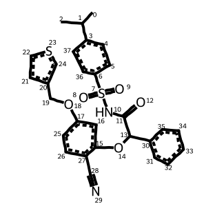 CC(C)c1ccc(S(=O)(=O)NC(=O)C(Oc2cc(OCc3ccsc3)ccc2C#N)c2ccccc2)cc1